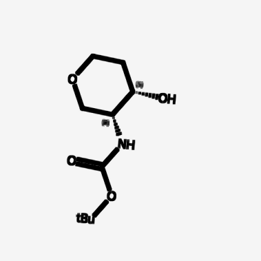 CC(C)(C)OC(=O)N[C@@H]1COCC[C@@H]1O